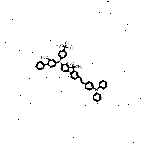 CC1C=C(N(c2ccc(C(C)(C)C)cc2)c2ccc3c(c2)C(C)(C)c2cc(/C=C/c4ccc(N(c5ccccc5)c5ccccc5)cc4)ccc2-3)C=CC1c1ccccc1